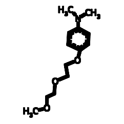 COCCOCCOc1ccc(N(C)C)cc1